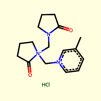 Cc1ccc[n+](C[N+]2(CN3CCCC3=O)CCCC2=O)c1.Cl